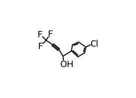 OC(C#CC(F)(F)F)c1ccc(Cl)cc1